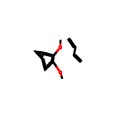 C=CC=C.COc1cc2cc-2c1OC